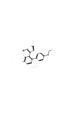 Cc1cc(O)c(-c2ccc(C(C)CN)cc2)c2c1[nH]c(=O)c1sc(Cl)cc12.Cl